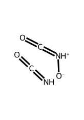 N=C=O.O=C=[NH+][O-]